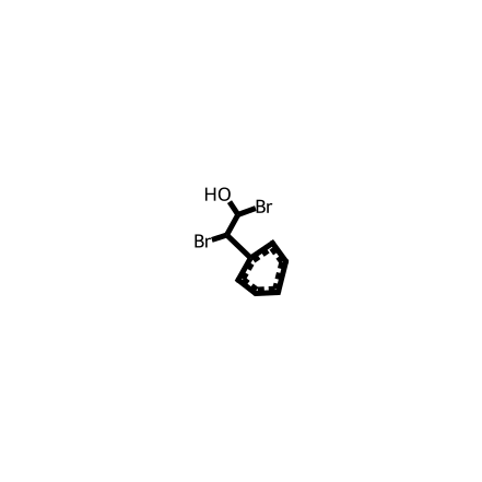 OC(Br)C(Br)c1ccccc1